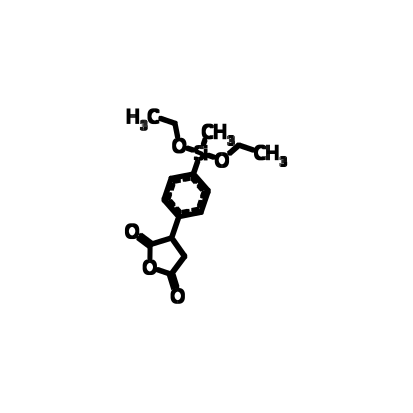 CCO[Si](C)(OCC)c1ccc(C2CC(=O)OC2=O)cc1